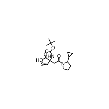 CC(C)(C)OC(=O)NC(C=S)(CC(=O)N1CCCC1C1CC1)C(=O)O